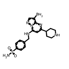 Bc1cnn2c(NCc3ccc(S(N)(=O)=O)cc3)cc(C3CCNCC3)nc12